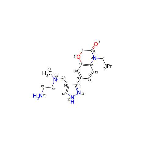 CC(C)CN1C(=O)COc2cc(-c3n[nH]cc3CN(C)CCN)ccc21